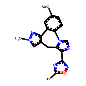 COc1ccc2c(c1)-c1nn(C)cc1Cc1c(-c3noc(C(C)C)n3)ncn1-2